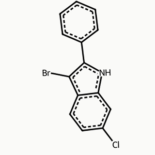 Clc1ccc2c(Br)c(-c3ccccc3)[nH]c2c1